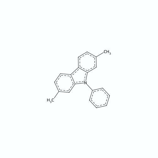 Cc1ccc2c3ccc(C)cc3n(-c3ccccc3)c2c1